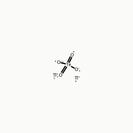 O=[Te](=O)([O-])[O-].[Tl+].[Tl+]